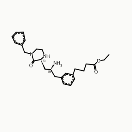 CCOC(=O)CCCc1cccc(C[C@H](N)C[C@@H]2NCCN(Cc3ccccc3)C2=O)c1